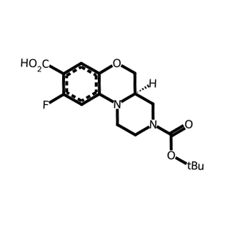 CC(C)(C)OC(=O)N1CCN2c3cc(F)c(C(=O)O)cc3OC[C@H]2C1